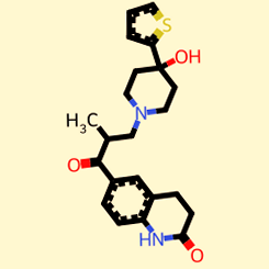 CC(CN1CCC(O)(c2cccs2)CC1)C(=O)c1ccc2c(c1)CCC(=O)N2